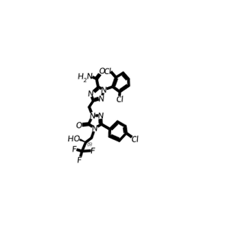 NC(=O)c1nc(Cn2nc(-c3ccc(Cl)cc3)n(C[C@H](O)C(F)(F)F)c2=O)nn1-c1c(Cl)cccc1Cl